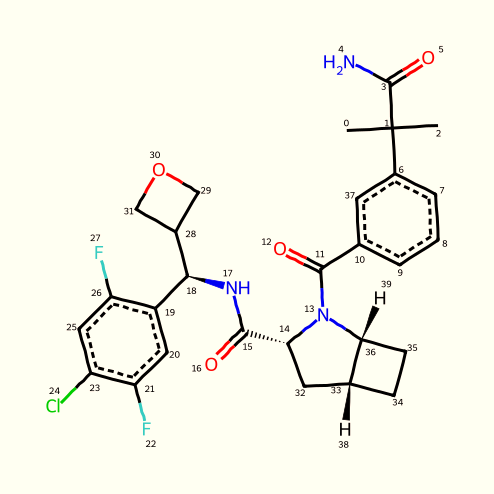 CC(C)(C(N)=O)c1cccc(C(=O)N2[C@@H](C(=O)N[C@@H](c3cc(F)c(Cl)cc3F)C3COC3)C[C@H]3CC[C@H]32)c1